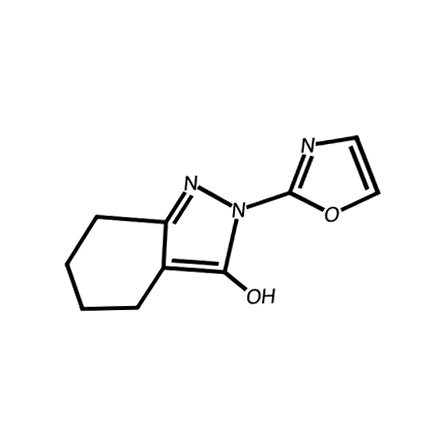 Oc1c2c(nn1-c1ncco1)CCCC2